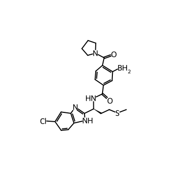 Bc1cc(C(=O)N[C@@H](CCSC)c2nc3cc(Cl)ccc3[nH]2)ccc1C(=O)N1CCCC1